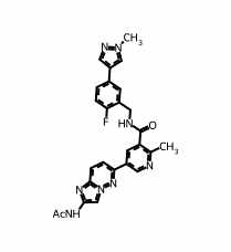 CC(=O)Nc1cn2nc(-c3cnc(C)c(C(=O)NCc4cc(-c5cnn(C)c5)ccc4F)c3)ccc2n1